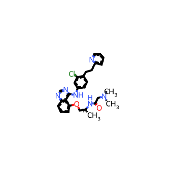 C[C@@H](COc1cccc2ncnc(Nc3ccc(CCc4ccccn4)c(Cl)c3)c12)NC(=O)CN(C)C